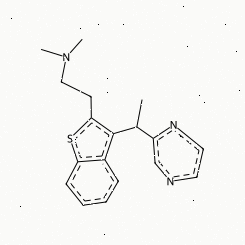 CC(c1cnccn1)c1c(CCN(C)C)sc2ccccc12